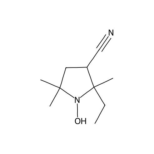 CCC1(C)C(C#N)CC(C)(C)N1O